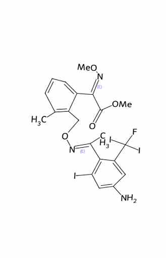 CO/N=C(/C(=O)OC)c1cccc(C)c1CO/N=C(\C)c1c(I)cc(N)cc1C(F)(I)I